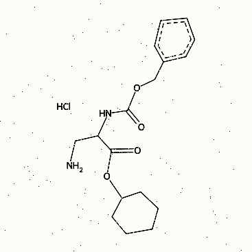 Cl.NCC(NC(=O)OCc1ccccc1)C(=O)OC1CCCCC1